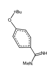 CCCCOc1ccc(C(=N)NC)cc1